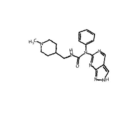 CN1CCC(CNC(=O)N(c2ccccc2)c2ncc3c[nH]nc3n2)CC1